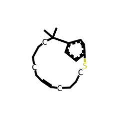 CC1(C)CCCCC/C=C\CCCCSc2ccc1cc2